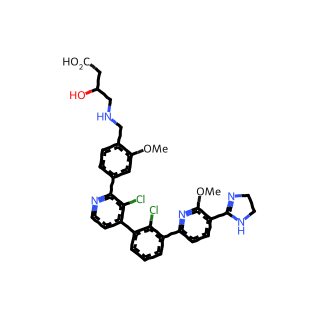 COc1cc(-c2nccc(-c3cccc(-c4ccc(C5=NCCN5)c(OC)n4)c3Cl)c2Cl)ccc1CNCC(O)CC(=O)O